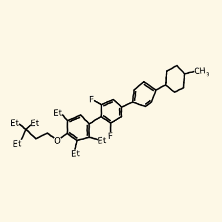 CCc1cc(-c2c(F)cc(-c3ccc(C4CCC(C)CC4)cc3)cc2F)c(CC)c(CC)c1OCCC(CC)(CC)CC